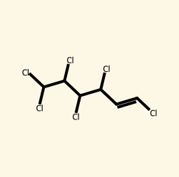 ClC=CC(Cl)C(Cl)C(Cl)C(Cl)Cl